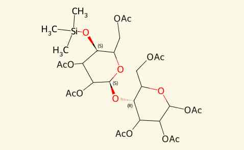 CC(=O)OCC1OC(OC(C)=O)C(OC(C)=O)C(OC(C)=O)[C@@H]1O[C@@H]1OC(COC(C)=O)[C@H](O[Si](C)(C)C)C(OC(C)=O)C1OC(C)=O